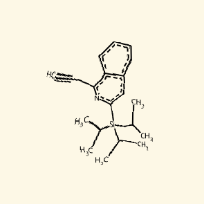 C#Cc1nc([Si](C(C)C)(C(C)C)C(C)C)cc2ccccc12